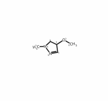 COC1[C]N(C)N=C1